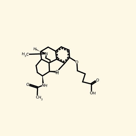 CC(=O)N[C@H]1CCC2[C@H]3Cc4ccc(OCCCC(=O)O)c5c4[C@@]2(CCN3C)[C@H]1O5